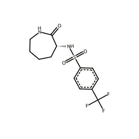 O=C1NCCCC[C@H]1NS(=O)(=O)c1ccc(C(F)(F)F)cc1